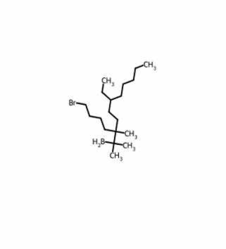 BC(C)(C)C(C)(CCCCBr)CCC(CC)CCCCC